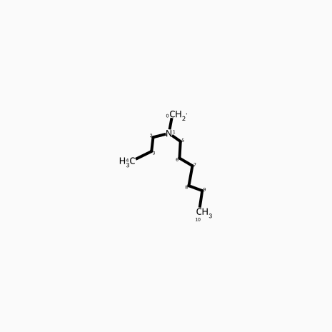 [CH2]N(CCC)CCCCCC